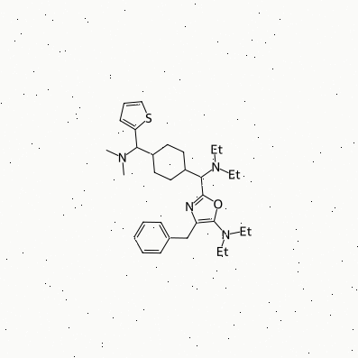 CCN(CC)c1oc(C(C2CCC(C(c3cccs3)N(C)C)CC2)N(CC)CC)nc1Cc1ccccc1